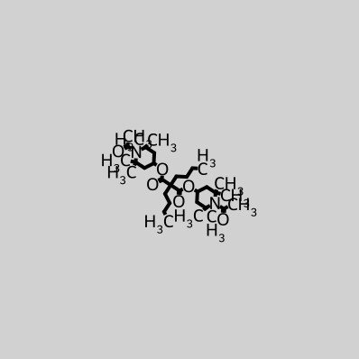 CCCCC(CCCC)(C(=O)OC1CC(C)(C)N(C(C)=O)C(C)(C)C1)C(=O)OC1CC(C)(C)N(C(C)=O)C(C)(C)C1